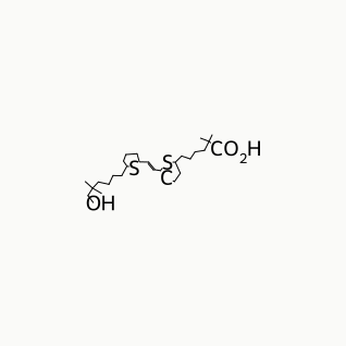 CC(C)(CO)CCCCC1CCCC(C=CC2CCCC(CCCCC(C)(C)C(=O)O)S2)S1